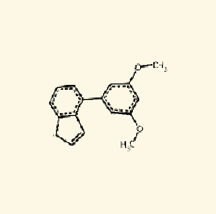 COc1cc(OC)cc(-c2cccc3c2C=C[CH]3)c1